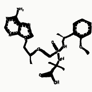 COc1ccccc1[C@@H](C)NP(=O)(CO[C@@H](C)Cn1cnc2c(N)ncnc21)NC(C)(C)C(=O)O